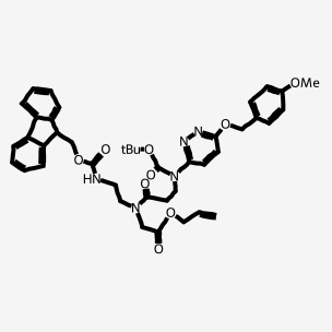 C=CCOC(=O)CN(CCNC(=O)OCC1c2ccccc2-c2ccccc21)C(=O)CCN(C(=O)OC(C)(C)C)c1ccc(OCc2ccc(OC)cc2)nn1